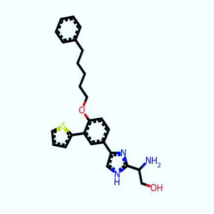 NC(CO)c1nc(-c2ccc(OCCCCCc3ccccc3)c(-c3cccs3)c2)c[nH]1